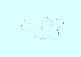 Brc1ccc2c(c1)[nH]c1cc3ccc4cccc5ccc(c12)c3c45